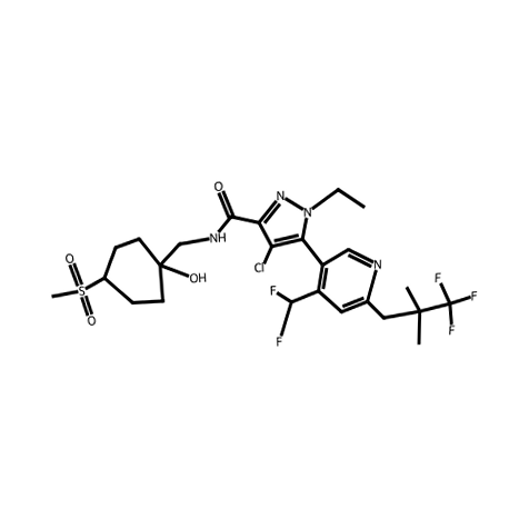 CCn1nc(C(=O)NCC2(O)CCC(S(C)(=O)=O)CC2)c(Cl)c1-c1cnc(CC(C)(C)C(F)(F)F)cc1C(F)F